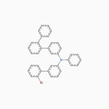 Brc1ccccc1-c1cccc(N(c2ccccc2)c2cccc(-c3ccccc3-c3ccccc3)c2)c1